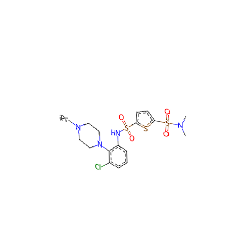 CC(C)N1CCN(c2c(Cl)cccc2NS(=O)(=O)c2ccc(S(=O)(=O)N(C)C)s2)CC1